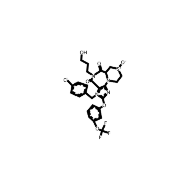 O=C1c2c(nc(Oc3cccc(OC(F)(F)F)c3)n2Cc2ccc(Cl)cc2)N2CC[S+]([O-])CC2C(=O)N1CCCO